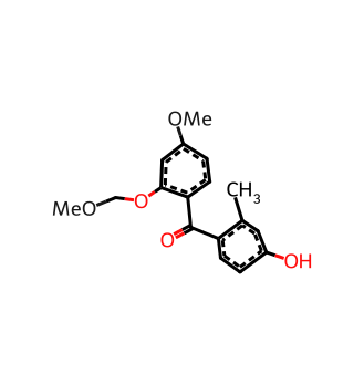 COCOc1cc(OC)ccc1C(=O)c1ccc(O)cc1C